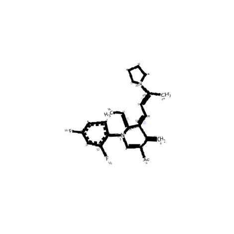 C=C1C(C(C)=O)=CN(c2ccc(F)cc2F)C(=C\C)/C1=C\C=C(/C)N1CCCC1